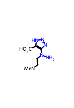 CNCCN(N)c1nn[nH]c1C(=O)O